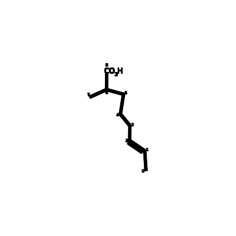 CC=CCCCC(C)C(=O)O